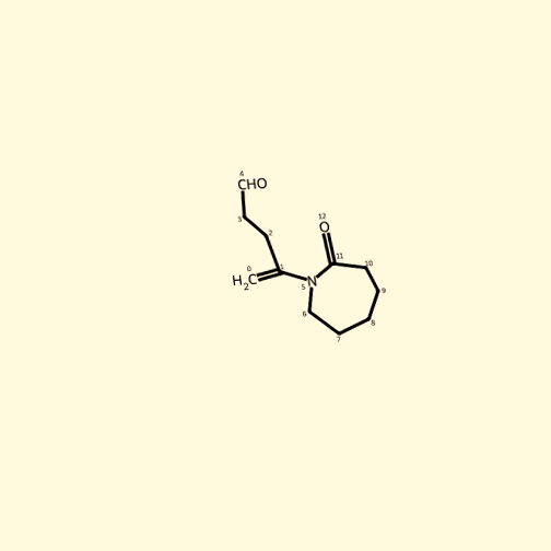 C=C(CCC=O)N1CCCCCC1=O